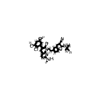 CNc1ncc2cc(-c3cc(OC)cc(OC)c3Cl)c(=O)n(CCc3cccc(C=C(C#N)C(=O)NC(C)(C)C)c3)c2n1